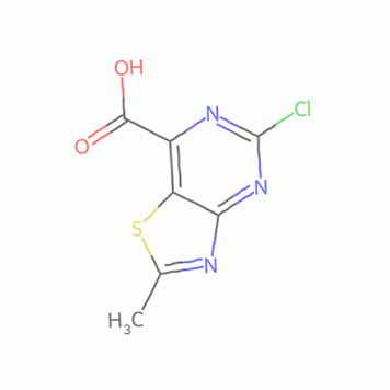 Cc1nc2nc(Cl)nc(C(=O)O)c2s1